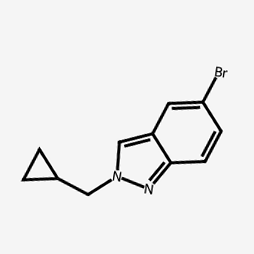 Brc1ccc2nn(CC3CC3)cc2c1